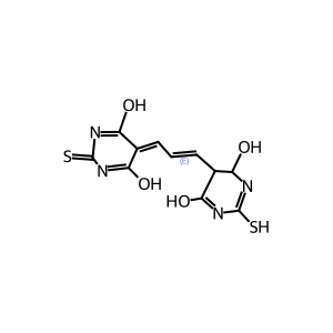 OC1=NC(=S)N=C(O)C1=C/C=C/C1C(O)=NC(S)=NC1O